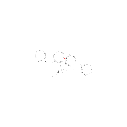 [CH3][Zr]([CH3])(=[SiH2])([c]1cccc2c1Cc1ccccc1-2)[c]1cccc2c1Cc1ccccc1-2